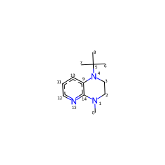 CN1CCN(C(C)(C)C)c2cccnc21